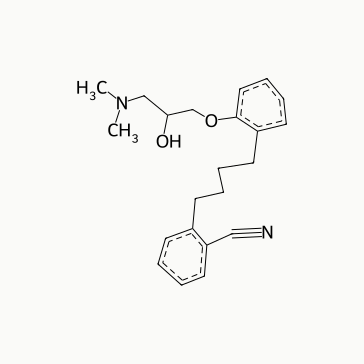 CN(C)CC(O)COc1ccccc1CCCCc1ccccc1C#N